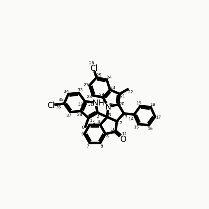 Cc1c(C23c4ccccc4C(=O)C2C(c2ccccc2)c2c(C)c4cc(Cl)ccc4n23)[nH]c2ccc(Cl)cc12